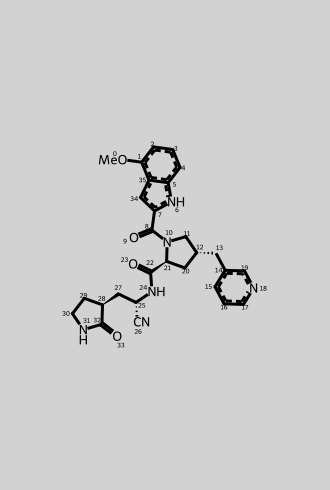 COc1cccc2[nH]c(C(=O)N3C[C@H](Cc4cccnc4)C[C@H]3C(=O)N[C@H](C#N)C[C@@H]3CCNC3=O)cc12